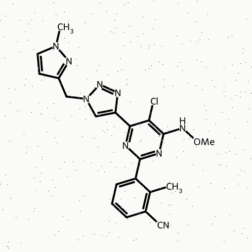 CONc1nc(-c2cccc(C#N)c2C)nc(-c2cn(Cc3ccn(C)n3)nn2)c1Cl